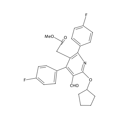 COC(=O)Cc1c(-c2ccc(F)cc2)nc(OC2CCCC2)c(C=O)c1-c1ccc(F)cc1